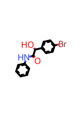 O=C(Nc1ccccc1)C(O)c1ccc(Br)cc1